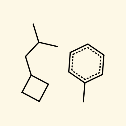 CC(C)CC1CCC1.Cc1ccccc1